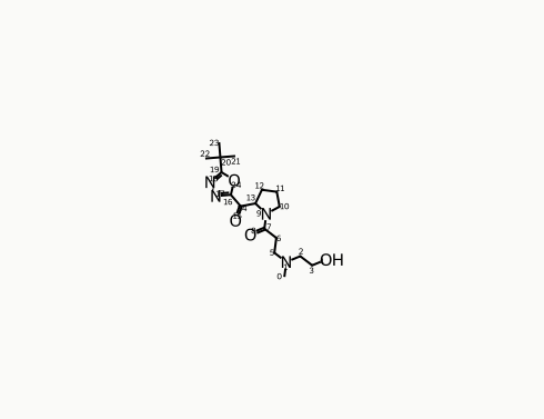 CN(CCO)CCC(=O)N1CCCC1C(=O)c1nnc(C(C)(C)C)o1